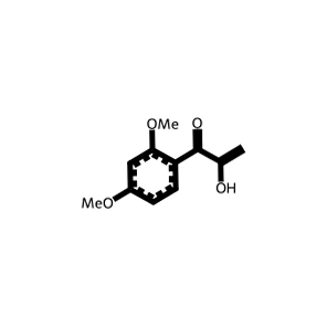 C=C(O)C(=O)c1ccc(OC)cc1OC